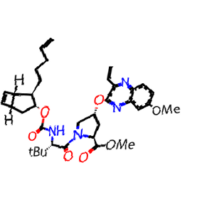 C=CCCC[C@@H]1[C@H]2C=C[C@H]2C[C@H]1OC(=O)N[C@H](C(=O)N1C[C@H](Oc2nc3cc(OC)ccc3nc2C=C)C[C@H]1C(=O)OC)C(C)(C)C